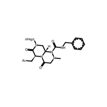 CCCCCCCN1C[C@H]2N(C(=O)CN(C)N2C(=O)NCc2ccccc2)[C@@H](CC(C)=O)C1=O